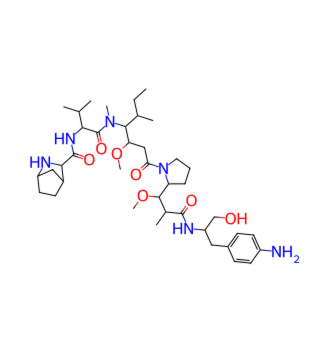 CCC(C)C(C(CC(=O)N1CCCC1C(OC)C(C)C(=O)NC(CO)Cc1ccc(N)cc1)OC)N(C)C(=O)C(NC(=O)C1NC2CCC1C2)C(C)C